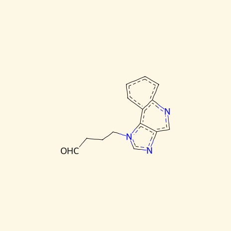 O=CCCCn1cnc2cnc3ccccc3c21